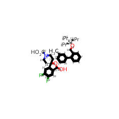 Cc1cc(-c2ccccc2CO[Si](C(C)C)(C(C)C)C(C)C)ccc1[C@H]1CN(C(=O)O)CC[C@@]12OC(O)c1cc(F)c(F)cc12